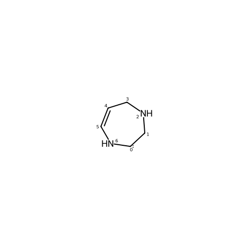 [C]1CNCC=CN1